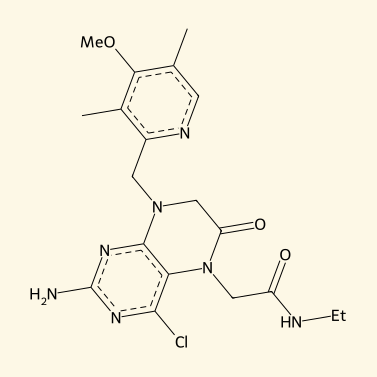 CCNC(=O)CN1C(=O)CN(Cc2ncc(C)c(OC)c2C)c2nc(N)nc(Cl)c21